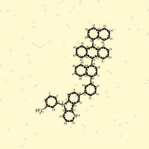 Cc1cccc(-n2c3ccc(-c4cccc(-c5ccc(-c6c7ccccc7c(-c7cccc8ccccc78)c7ccccc67)c6ccccc56)c4)cc3c3ncccc32)c1